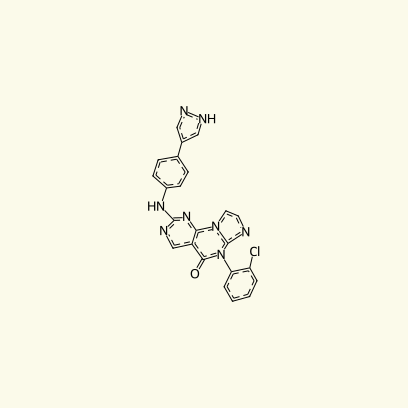 O=c1c2cnc(Nc3ccc(-c4cn[nH]c4)cc3)nc2n2ccnc2n1-c1ccccc1Cl